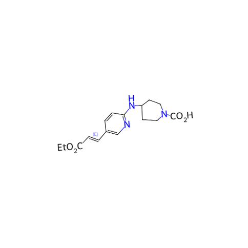 CCOC(=O)/C=C/c1ccc(NC2CCN(C(=O)O)CC2)nc1